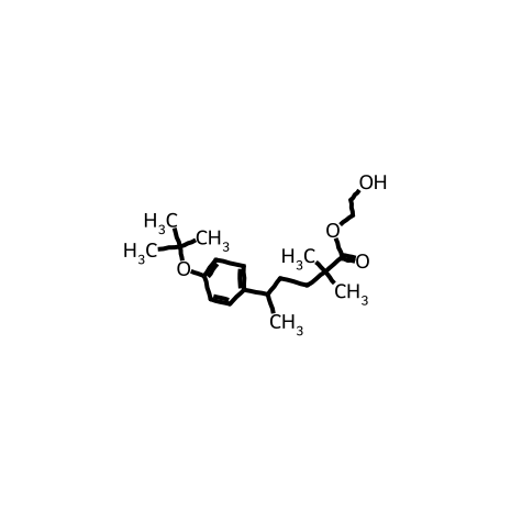 CC(CCC(C)(C)C(=O)OCCO)c1ccc(OC(C)(C)C)cc1